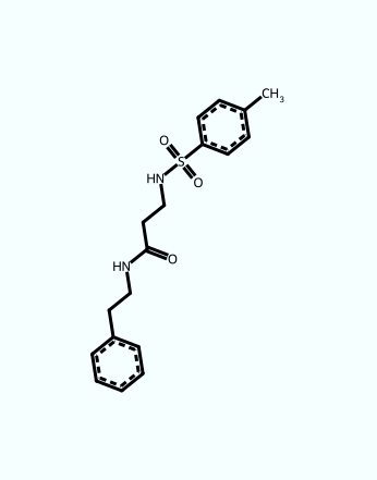 Cc1ccc(S(=O)(=O)NCCC(=O)NCCc2ccccc2)cc1